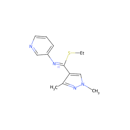 CCS/C(=N\c1cccnc1)c1cn(C)nc1C